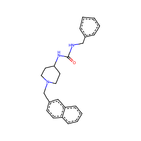 O=C(NCc1ccccc1)NC1CCN(Cc2ccc3ccccc3c2)CC1